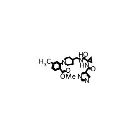 COC(=O)c1ccc(C)cc1N1CCC(CNC(=O)C2(NC(=O)c3cncnc3)CC2)CC1